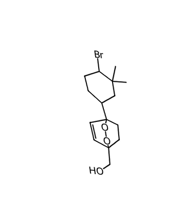 CC1(C)CC(C23C=CC(CO)(CC2)OO3)CCC1Br